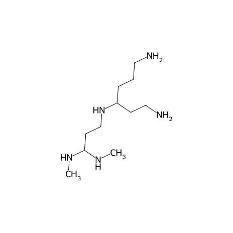 CNC(CCNC(CCN)CCCN)NC